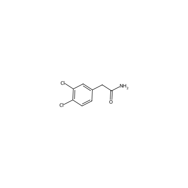 NC(=O)Cc1ccc(Cl)c(Cl)c1